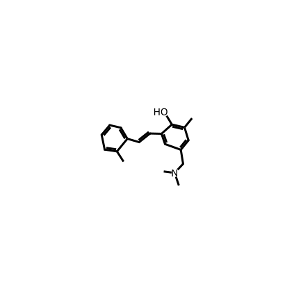 Cc1ccccc1/C=C/c1cc(CN(C)C)cc(C)c1O